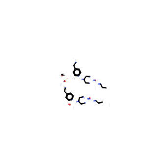 CC(C)CCNC(=O)N1CCC(Nc2ccc(CCN)cc2)CC1.CC(C)CCNC(=O)N1CCC(Nc2ccc(CCNC(=O)OC(C)(C)C)cc2)CC1.O=CO